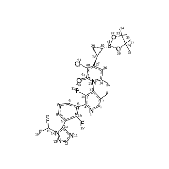 Cc1cnc(-c2cccc(-c3ncnn3C(F)F)c2F)c(F)c1-n1c(C)cc([C@H]2C[C@@H]2B2OC(C)(C)C(C)(C)O2)c(Cl)c1=O